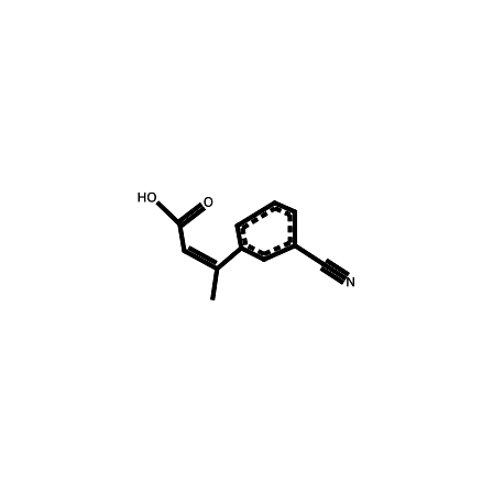 C/C(=C/C(=O)O)c1cccc(C#N)c1